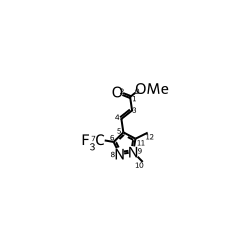 COC(=O)/C=C/c1c(C(F)(F)F)nn(C)c1C